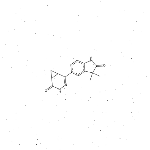 CC1(C)C(=O)Nc2ccc(C3=NNC(=O)C4CC34)cc21